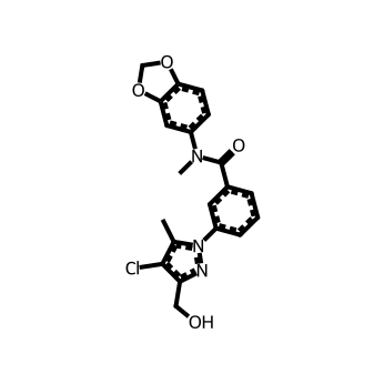 Cc1c(Cl)c(CO)nn1-c1cccc(C(=O)N(C)c2ccc3c(c2)OCO3)c1